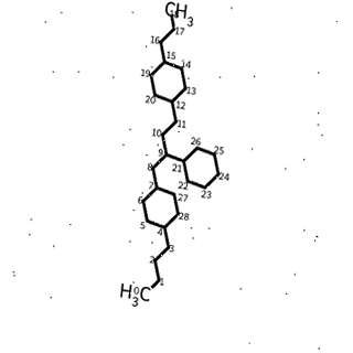 CCCCC1CCC(CC(CCC2CCC(CCC)CC2)C2CCCCC2)CC1